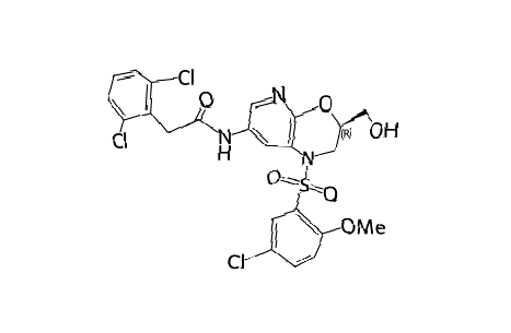 COc1ccc(Cl)cc1S(=O)(=O)N1C[C@H](CO)Oc2ncc(NC(=O)Cc3c(Cl)cccc3Cl)cc21